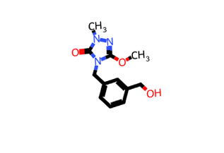 COc1nn(C)c(=O)n1Cc1cccc(CO)c1